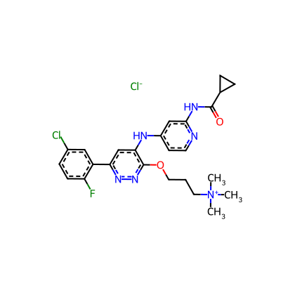 C[N+](C)(C)CCCOc1nnc(-c2cc(Cl)ccc2F)cc1Nc1ccnc(NC(=O)C2CC2)c1.[Cl-]